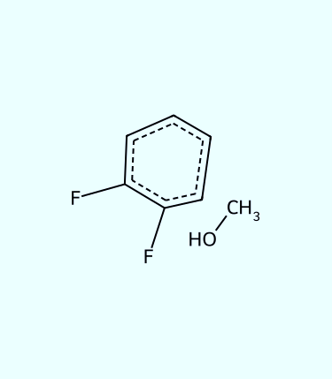 CO.Fc1ccccc1F